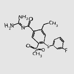 CCc1cc(Sc2cccc(F)c2)c(S(C)(=O)=O)cc1C(=O)N=C(N)N